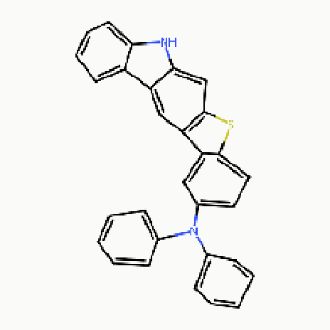 c1ccc(N(c2ccccc2)c2ccc3sc4cc5[nH]c6ccccc6c5cc4c3c2)cc1